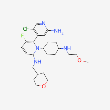 COCCN[C@H]1CC[C@H](N2C(c3cc(N)ncc3Cl)=C(F)C=CC2NCC2CCOCC2)CC1